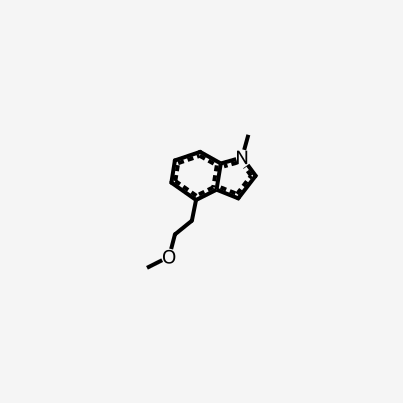 COCCc1cccc2c1ccn2C